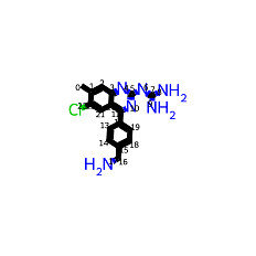 Cc1cc2nc(N=C(N)N)nc(-c3ccc(CN)cc3)c2cc1Cl